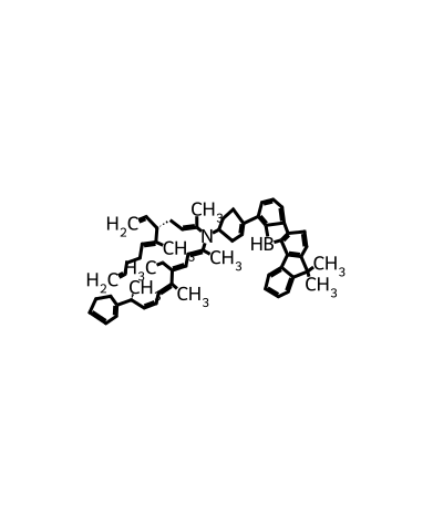 C=CCC/C=C(\C)[C@H](C=C)C/C=C(\C)N(/C(C)=C/C=C(CC)/C(C)=C/C=C\[C@@H](C)C1=CC=CCC1)C1CC=C(c2cccc3c2Bc2c-3ccc3c2-c2ccccc2C3(C)C)CC1